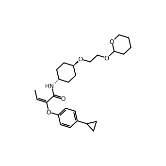 CC=C(Oc1ccc(C2CC2)cc1)C(=O)N[C@H]1CC[C@H](OCCOC2CCCCO2)CC1